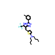 CCCCN(CCCC)c1ccc(/C=c2/c(C(F)(F)F)nn3c(-c4cccc(C)c4)nnc23)s1